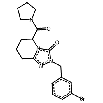 O=C(C1CCCc2nn(Cc3cccc(Br)c3)c(=O)n21)N1CCCC1